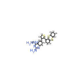 NNc1nc(N)nc2ccc(-c3ccsc3-c3cccc4c3Sc3ccccc3S4)cc12